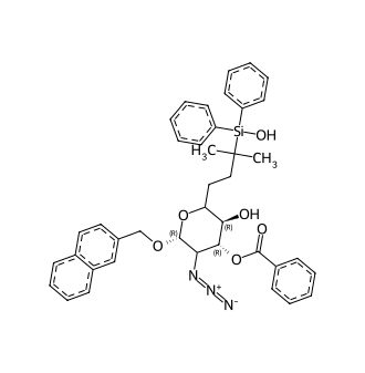 CC(C)(CCC1O[C@@H](OCc2ccc3ccccc3c2)C(N=[N+]=[N-])[C@@H](OC(=O)c2ccccc2)[C@@H]1O)[Si](O)(c1ccccc1)c1ccccc1